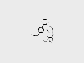 CCn1ncc(CN2CCN(c3nccnc3-c3ccc(CC#N)cc3)CC2)c1C